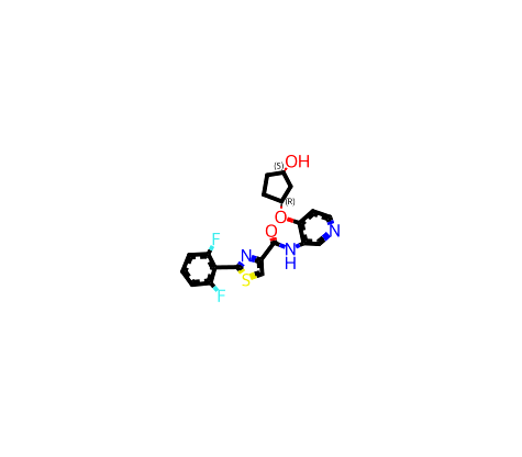 O=C(Nc1cnccc1O[C@@H]1CC[C@H](O)C1)c1csc(-c2c(F)cccc2F)n1